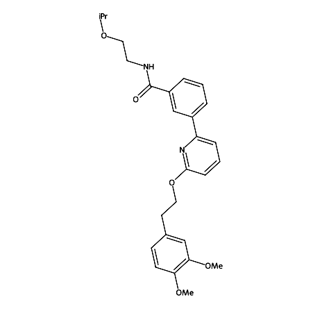 COc1ccc(CCOc2cccc(-c3cccc(C(=O)NCCOC(C)C)c3)n2)cc1OC